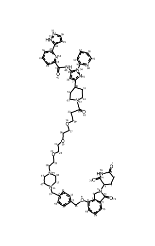 O=C1CCC(N2Cc3c(OCc4ccc(CN5CCN(CCOCCOCCOCCC(=O)N6CCC(c7cc(NC(=O)c8cccc(-c9ccn[nH]9)n8)n(-c8ccccn8)n7)CC6)CC5)cc4)cccc3C2=O)C(=O)N1